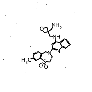 Cc1ccc2c(c1)S(=O)(=O)CCN(c1cc(NCC3(CN)COC3)c3ccccc3n1)C2